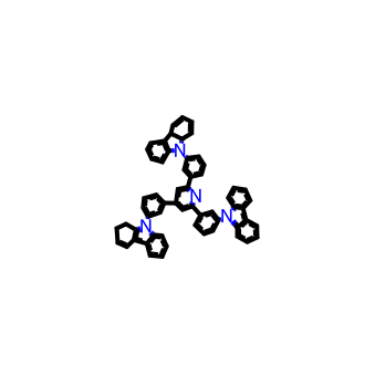 C1=CC2c3ccccc3N(c3cccc(-c4cc(-c5cccc(-n6c7c(c8ccccc86)C=CCC7)c5)cc(-c5cccc(-n6c7ccccc7c7ccccc76)c5)n4)c3)C2C=C1